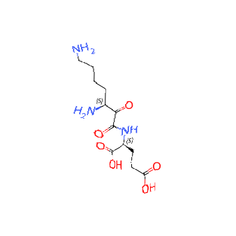 NCCCC[C@H](N)C(=O)C(=O)N[C@@H](CCC(=O)O)C(=O)O